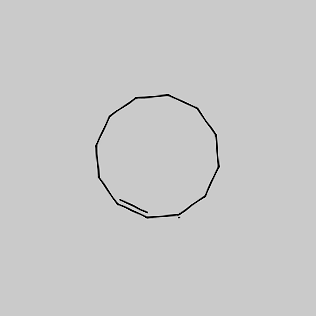 [CH]1C=CCCCCCCCCC1